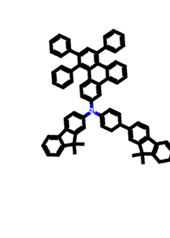 CC1(C)C2=C(C=CCC2)c2ccc(C3C=CC(N(c4ccc5c(c4)C(C)(C)c4ccccc4-5)c4ccc5c(c4)c4ccccc4c4c(-c6ccccc6)cc(-c6ccccc6)c(-c6ccccc6)c54)=CC3)cc21